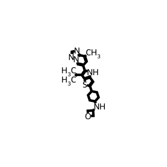 Cc1cc(-c2[nH]c3cc(C4CCC(NC5COC5)CC4)sc3c2C(C)C)cn2ncnc12